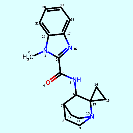 Cn1c(C(=O)NC2C3CCN(CC3)C23CC3)nc2ccccc21